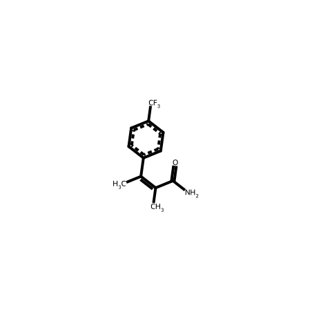 CC(C(N)=O)=C(C)c1ccc(C(F)(F)F)cc1